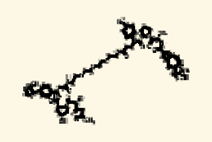 Cc1cc([C@H](C(=O)N2C[C@H](O)C[C@H]2C(=O)N[C@@H](CC(=O)NCCOCCOCCOCCNC(=O)CCN(C(=O)[C@@H]2CCCN2C(=O)[C@@H](NC(=O)c2cc3cc(C(F)(F)P(=O)(O)O)ccc3s2)C(C)(C)C)c2ccc(Br)cc2)c2ccc(-c3scnc3C)cc2)C(C)C)on1